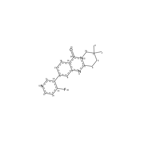 CC1(C)CCc2nc3cc(-c4cnccc4F)ccc3c(=O)n2C1